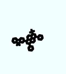 CC1(C)c2ccccc2-c2ccc(-c3cc(-c4ccccc4)c4ccc5c(-c6ccccc6)cc([Si](C)(C)C)c6ccc3c4c56)cc21